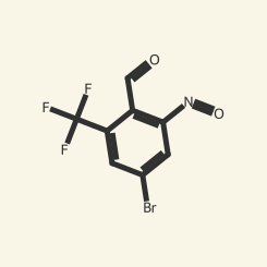 O=Cc1c(N=O)cc(Br)cc1C(F)(F)F